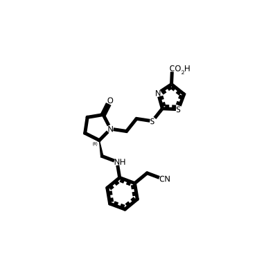 N#CCc1ccccc1NC[C@H]1CCC(=O)N1CCSc1nc(C(=O)O)cs1